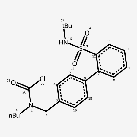 CCCCN(Cc1ccc(-c2ccccc2S(=O)(=O)NC(C)(C)C)cc1)C(=O)Cl